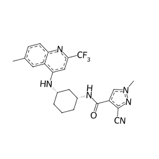 Cc1ccc2nc(C(F)(F)F)cc(N[C@H]3CCC[C@@H](NC(=O)c4cn(C)nc4C#N)C3)c2c1